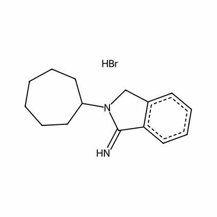 Br.N=C1c2ccccc2CN1C1CCCCCC1